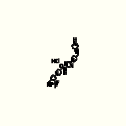 Cl.N#Cc1ccc(N2CCC(C(=O)Nc3cnc(N4CCC(CN5CC6(CCNCC6)C5)CC4)cn3)CC2)cc1C(F)(F)F